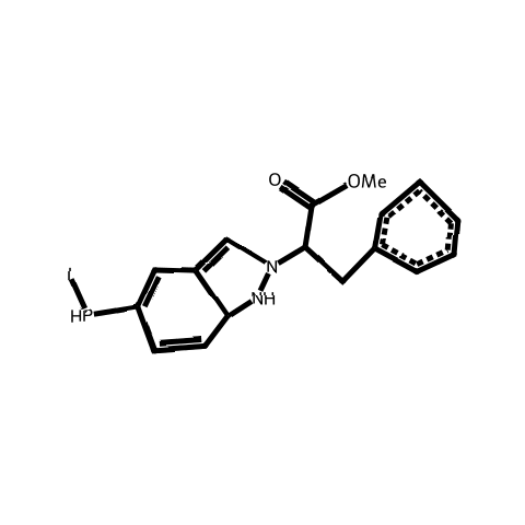 COC(=O)C(Cc1ccccc1)N1C=C2C=C(PI)C=CC2N1